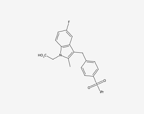 Cc1c(Cc2ccc(S(=O)(=O)C(C)C)cc2)c2cc(F)ccc2n1CC(=O)O